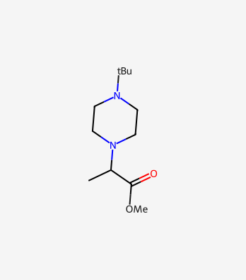 COC(=O)C(C)N1CCN(C(C)(C)C)CC1